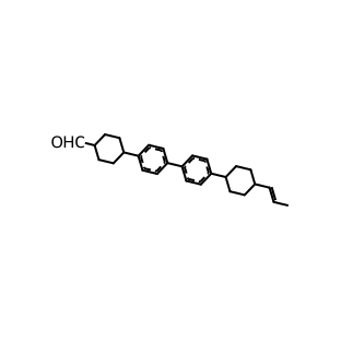 C/C=C/C1CCC(c2ccc(-c3ccc(C4CCC(C=O)CC4)cc3)cc2)CC1